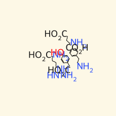 N=C(N)NCCC[C@H](N)C(=O)O.NCCc1ccccc1.N[C@H](CCC(=O)O)C(=O)O.O=C(O)Cc1ccc(O)cc1